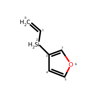 C=C[SiH2]c1ccoc1